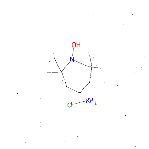 CC1(C)CCCC(C)(C)N1O.NCl